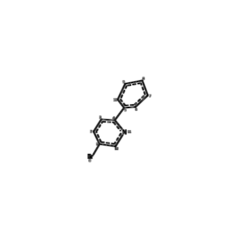 Brc1ccc(-c2ccccc2)nc1